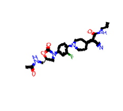 C=CCNC(=O)C(C#N)=C1CCN(c2ccc(N3C[C@H](CNC(C)=O)OC3=O)cc2F)CC1